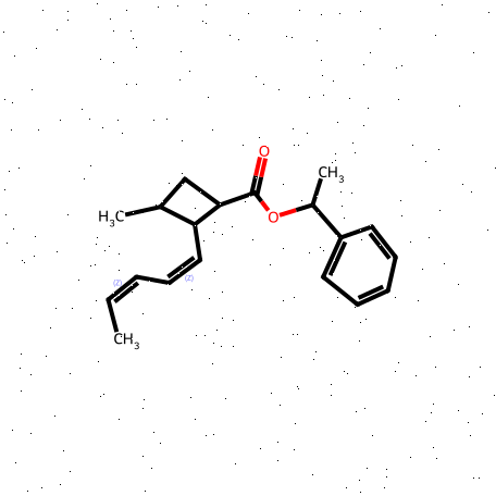 C/C=C\C=C/C1C(C)CC1C(=O)OC(C)c1ccccc1